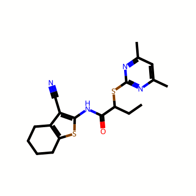 CCC(Sc1nc(C)cc(C)n1)C(=O)Nc1sc2c(c1C#N)CCCC2